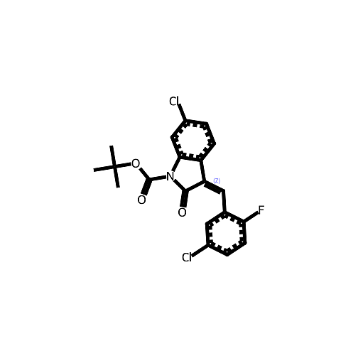 CC(C)(C)OC(=O)N1C(=O)/C(=C\c2cc(Cl)ccc2F)c2ccc(Cl)cc21